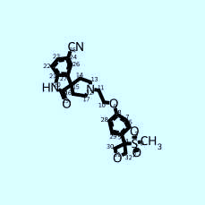 CS(=O)(=O)C1(c2ccc(OCCN3CCC4(CC3)C(=O)Nc3ccc(C#N)cc34)cc2)COC1